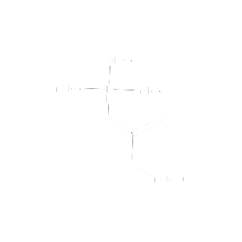 CCCCCCCOC(=O)C[PH](CCCCCC)(CCCCCC)CCCCCC